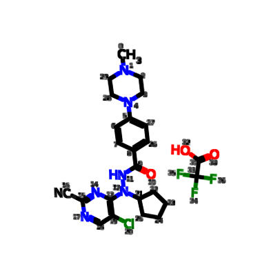 CN1CCN(c2ccc(C(=O)NN(c3nc(C#N)ncc3Cl)C3CCCC3)cc2)CC1.O=C(O)C(F)(F)F